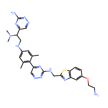 Cc1cc(NCC(c2cnnc(N)n2)N(C)C)cc(C)c1-c1cnnc(NCc2nc3cc(OCCN)ccc3s2)n1